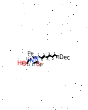 CCCCCCCCCCCCCCC=CC[N+]1=C(CC)N(CCO)CC1.[Br-]